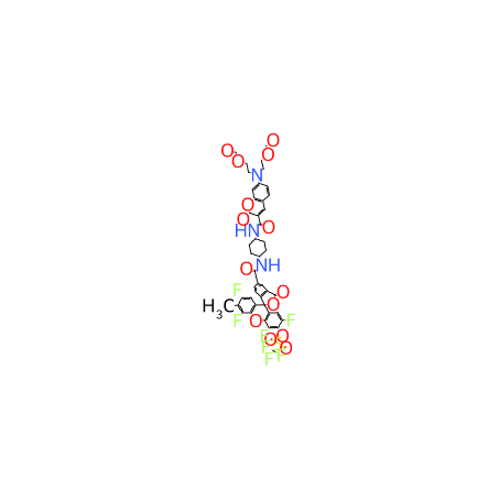 Cc1c(F)cc2c(c1F)Oc1c(cc(F)c(OS(=O)(=O)C(F)(F)F)c1F)C21OC(=O)c2cc(C(=O)NC3CCC(NC(=O)c4cc5ccc(N(CCOC=O)CCOC=O)cc5oc4=O)CC3)ccc21